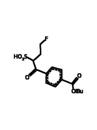 CC(C)COC(=O)c1ccc(C(=O)C(CCF)S(=O)(=O)O)cc1